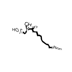 CCCCCCCCCCCCCCCCC(=O)N(C)CC(=O)O